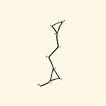 CC1C[C]1CCC1CC1